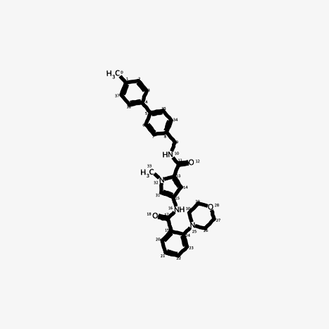 Cc1ccc(-c2ccc(CNC(=O)c3cc(NC(=O)c4ccccc4N4CCOCC4)cn3C)cc2)cc1